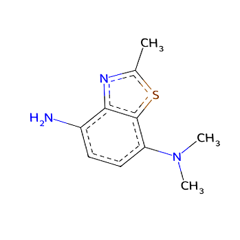 Cc1nc2c(N)ccc(N(C)C)c2s1